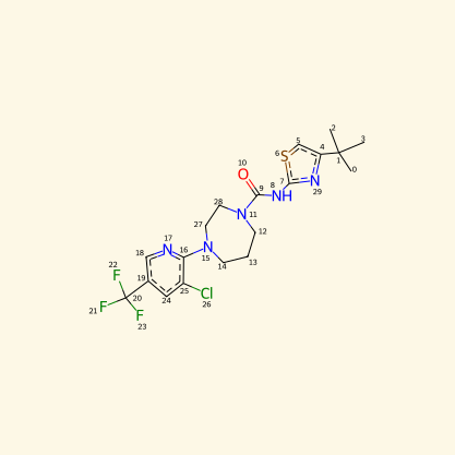 CC(C)(C)c1csc(NC(=O)N2CCCN(c3ncc(C(F)(F)F)cc3Cl)CC2)n1